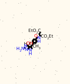 CCOC(=O)CC[C@H](NC(=O)c1ccc(C(C)(C)c2c[nH]c3nc(N)nc(O)c23)cc1)C(=O)OCC